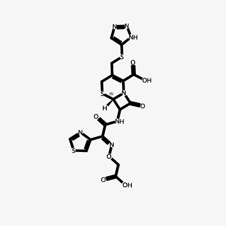 O=C(O)CON=C(C(=O)NC1C(=O)N2C(C(=O)O)=C(CSc3cnn[nH]3)CS[C@@H]12)c1cscn1